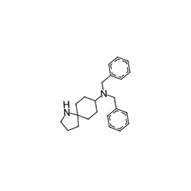 c1ccc(CN(Cc2ccccc2)C2CCC3(CCCN3)CC2)cc1